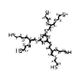 SCCSCC(CSc1nc(SCC(CSCCS)SCCS)nc(SCC(CSCCS)SCCS)n1)SCCS